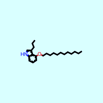 CCCCCCCCCCCCOc1cccc2[nH]cc(CCC)c12